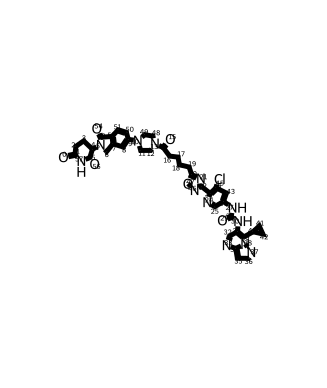 O=C1CCC(N2Cc3cc(N4CCN(C(=O)CCCCc5nc(-c6ncc(NC(=O)Nc7cnc8ccnn8c7C7CC7)cc6Cl)no5)CC4)ccc3C2=O)C(=O)N1